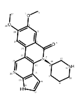 COc1cc2c(=O)n([C@@H]3CCCNC3)c3c4cc[nH]c4ncc3c2cc1OC